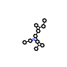 c1ccc(-c2ccc(-n3c4ccc(-c5ccc6c(c5)-c5ccccc5C6c5cccc(-c6ccccc6)c5)cc4c4cc5c(cc43)C(c3ccccc3)c3ccccc3-5)cc2)cc1